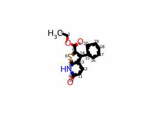 CCOC(=O)c1sc2[nH]c(=O)ccc2c1-c1ccccc1